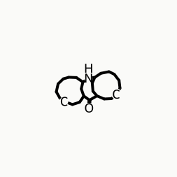 O=C1C2CCCCCCCCC(CC2)NC2CCCCCCCCCC1C2